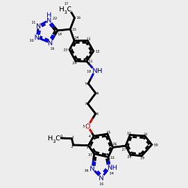 CCCc1c(OCCCCNc2ccc(C(CC)c3nnn[nH]3)cc2)cc(-c2ccccc2)c2[nH]nnc12